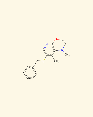 Cc1c(SCc2ccccc2)cnc2c1N(C)CCO2